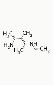 C=CN/C(C)=C(\C)C(=C)N